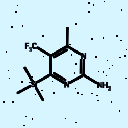 Cc1nc(N)nc([Si](C)(C)C)c1C(F)(F)F